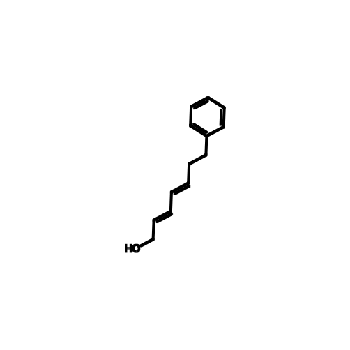 OCC=CC=CCCc1ccccc1